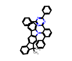 CC1(C)c2ccccc2-c2cc3c4ccccc4n(-c4c(-c5ccccc5)cccc4-c4nc(-c5ccccc5)nc(-c5ccccc5)n4)c3cc21